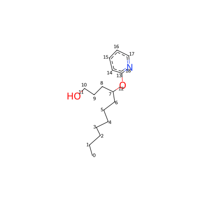 CCCCCCCC(CCCO)Oc1ccccn1